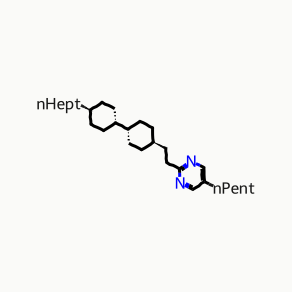 CCCCCCC[C@H]1CC[C@H]([C@H]2CC[C@H](CCc3ncc(CCCCC)cn3)CC2)CC1